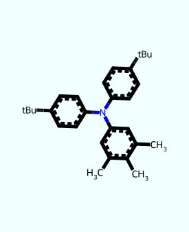 Cc1cc(N(c2ccc(C(C)(C)C)cc2)c2ccc(C(C)(C)C)cc2)cc(C)c1C